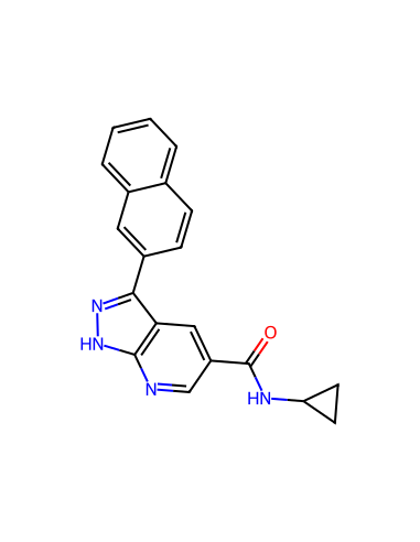 O=C(NC1CC1)c1cnc2[nH]nc(-c3ccc4ccccc4c3)c2c1